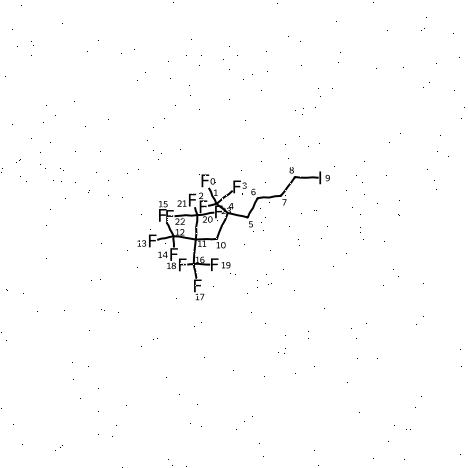 FC(F)(F)C(CCCCI)CC(C(F)(F)F)(C(F)(F)F)C(F)(F)F